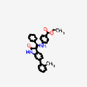 CCOC(=O)c1ccc(NC(=C2C(=O)Nc3cc(-c4ccccc4C)ccc32)c2ccccc2)cc1